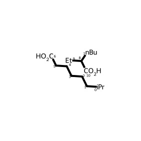 CC(C)CCCCCC(=O)O.CCCCC(CC)C(=O)O